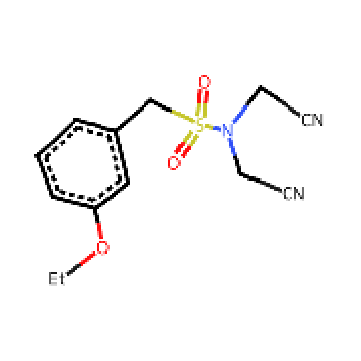 CCOc1cccc(CS(=O)(=O)N(CC#N)CC#N)c1